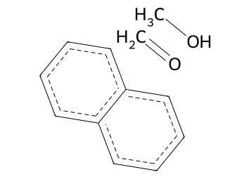 C=O.CO.c1ccc2ccccc2c1